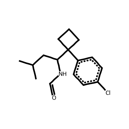 CC(C)CC(NC=O)C1(c2ccc(Cl)cc2)CCC1